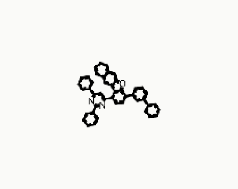 c1ccc(-c2cccc(-c3ccc(-c4cc(-c5ccccc5)nc(-c5ccccc5)n4)c4c3oc3cc5ccccc5cc34)c2)cc1